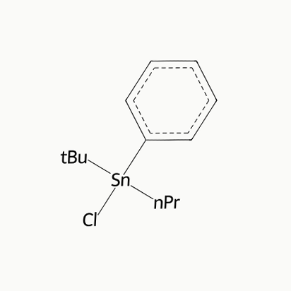 CC[CH2][Sn]([Cl])([c]1ccccc1)[C](C)(C)C